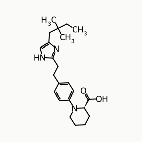 CCC(C)(C)Cc1c[nH]c(CCc2ccc(N3CCCC[C@@H]3C(=O)O)cc2)n1